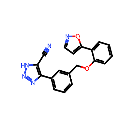 N#Cc1[nH]nnc1-c1cccc(COc2ccccc2-c2ccno2)c1